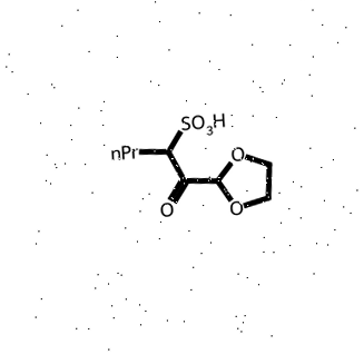 CCCC(C(=O)C1OCCO1)S(=O)(=O)O